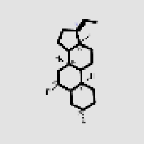 C/C=C1/CCC2[C@@H]3C[C@@H](F)C4C[C@@H](C)CC[C@@H]4C3CC[C@]12C